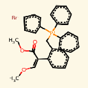 COC=C(C(=O)OC)c1ccccc1C[P+](c1ccccc1)(c1ccccc1)c1ccccc1.[Br-]